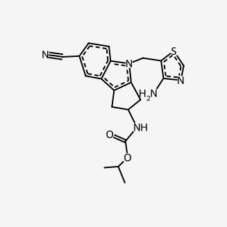 CC(C)OC(=O)NC1Cc2c(n(Cc3scnc3N)c3ccc(C#N)cc23)C1